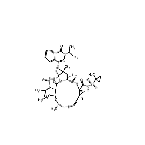 CCC(C)N(C(=O)O)[C@@H]1C(=O)N2[C@@H](C[C@@](C)(Oc3nn(C(C)C)c(=O)c4ccccc34)C2(F)F)C(=O)N[C@]2(C(=O)NS(=O)(=O)C3(C)CC3)C[C@H]2/C=C\CC[C@H](C)C[C@H]1C